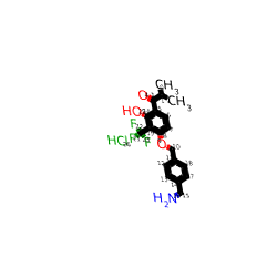 CC(C)C(=O)c1ccc(OCc2ccc(CN)cc2)c(C(F)(F)F)c1O.Cl